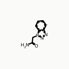 NC(=O)Cn1nnc2[c]cccc21